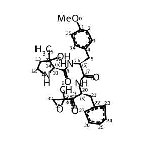 COc1ccc(C[C@H](NC(=O)[C@H]2NCC[C@]2(C)O)C(=O)N[C@@H](Cc2ccccc2)C(=O)[C@@]2(C)CO2)cc1